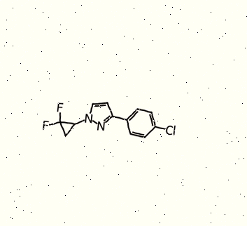 FC1(F)CC1n1ccc(-c2ccc(Cl)cc2)n1